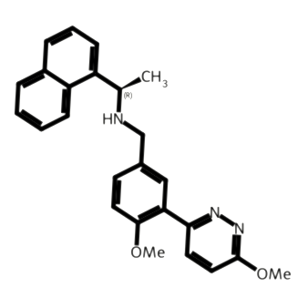 COc1ccc(-c2cc(CN[C@H](C)c3cccc4ccccc34)ccc2OC)nn1